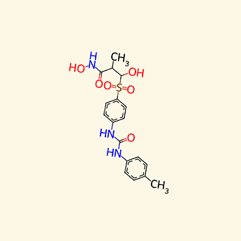 Cc1ccc(NC(=O)Nc2ccc(S(=O)(=O)C(O)C(C)C(=O)NO)cc2)cc1